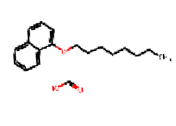 CCCCCCCCOc1cccc2ccccc12.O=CO